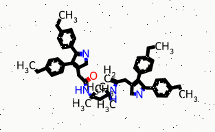 C=C(CC1=C(c2ccc(CC)cc2)C(c2ccc(CC)cc2)=NC1)NC(C)(C)CC(C)(C)NC(=O)CC1=C(c2ccc(CC)cc2)C(c2ccc(CC)cc2)=NC1